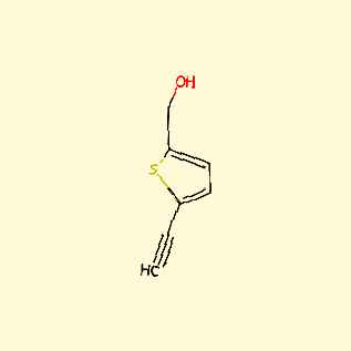 C#Cc1ccc(CO)s1